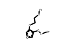 CC(C)OCCOc1cocc1OOC(C)C